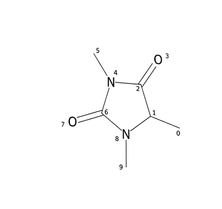 CC1C(=O)N(C)C(=O)N1C